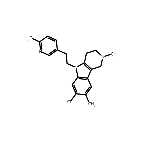 Cc1ccc(CCn2c3c(c4cc(C)c(Cl)cc42)CN(C)CC3)cn1